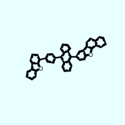 c1ccc2c(c1)ccc1c3cc(-c4c5ccccc5c(-c5ccc(-c6cccc7c6oc6ccccc67)cc5)c5ccccc45)ccc3oc21